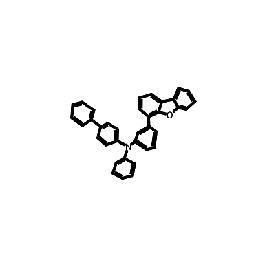 c1ccc(-c2ccc(N(c3ccccc3)c3cccc(-c4cccc5c4oc4ccccc45)c3)cc2)cc1